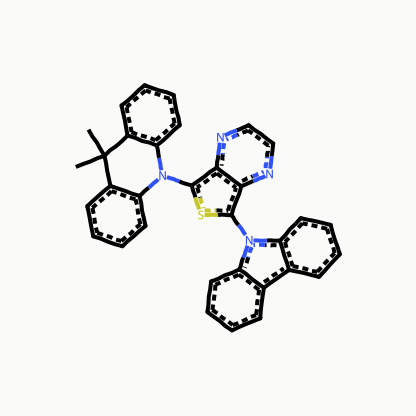 CC1(C)c2ccccc2N(c2sc(-n3c4ccccc4c4ccccc43)c3nccnc23)c2ccccc21